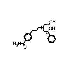 NC(=O)c1ccc(CCCN(CCO)C[C@H](O)c2ccccc2)cc1